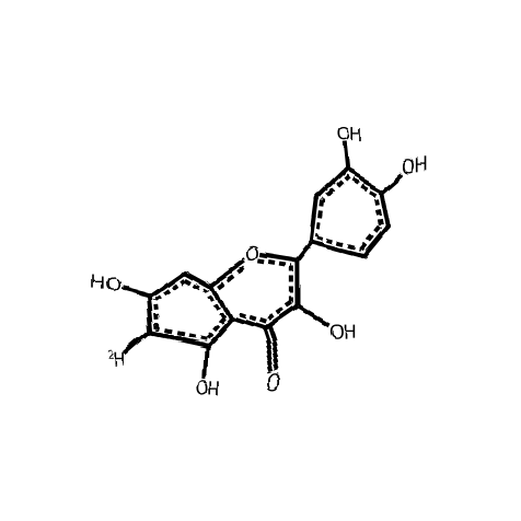 [2H]c1c(O)cc2oc(-c3ccc(O)c(O)c3)c(O)c(=O)c2c1O